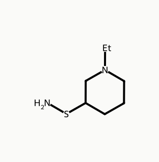 CCN1CCCC(SN)C1